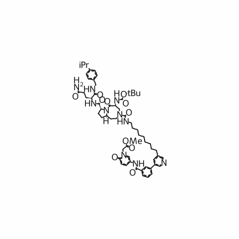 COC(=O)Cn1cc(NC(=O)c2cccc(-c3cncc(CCCCCCCCCNC(=O)N4CC[C@H]5CC[C@@H](C(=O)N[C@@H](CCC(N)=O)C(=O)NCc6ccc(C(C)C)cc6)N5C(=O)[C@@H](NC(=O)OC(C)(C)C)C4)c3)c2)ccc1=O